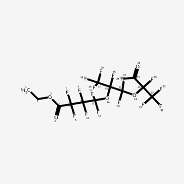 CCOC(=O)C(F)(F)C(F)(F)C(F)(F)OC(F)(C(F)(F)F)C(F)(F)OC(F)(C(=O)F)C(F)(F)F